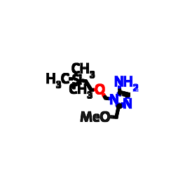 COCc1ncc(N)n1COCC[Si](C)(C)C